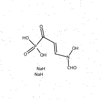 O=CN(O)/C=C/C(=O)P(=O)(O)O.[NaH].[NaH]